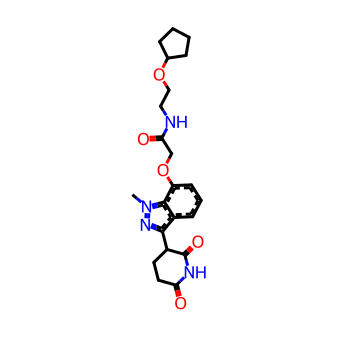 Cn1nc(C2CCC(=O)NC2=O)c2cccc(OCC(=O)NCCOC3CCCC3)c21